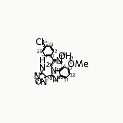 COC.Nc1nonc1-c1nc2ccccc2n1CC(=NO)c1ccc(Cl)cc1